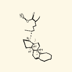 CC(CCCC(C)[C@H]1CC[C@H]2[C@@H]3CC=C4CCCC[C@]4(C)[C@H]3CC[C@]12C)C(=O)OO